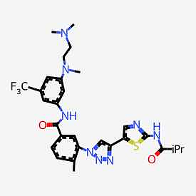 Cc1ccc(C(=O)Nc2cc(N(C)CCN(C)C)cc(C(F)(F)F)c2)cc1-n1cc(-c2cnc(NC(=O)C(C)C)s2)nn1